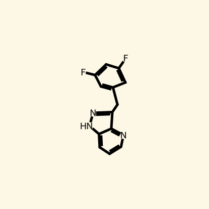 Fc1cc(F)cc(Cc2n[nH]c3cccnc23)c1